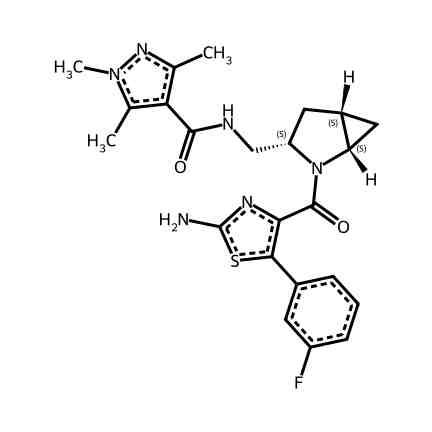 Cc1nn(C)c(C)c1C(=O)NC[C@@H]1C[C@@H]2C[C@@H]2N1C(=O)c1nc(N)sc1-c1cccc(F)c1